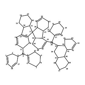 C1=CCC(N(C2=CCCCC2)C2C=CC3=C(C2)C2(C4C=CCCC4C4C(N(C5=CCCCC5)C5CC6CCCCC6C6C=CCCC65)=CCCC42)C2CCCCC32)C=C1